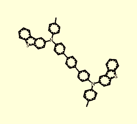 Cc1ccc(N(c2ccc(-c3ccc(-c4ccc(N(c5ccc(C)cc5)c5ccc6sc7ccccc7c6c5)cc4)cc3)cc2)c2ccc3sc4ccccc4c3c2)cc1